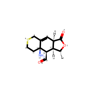 C[C@H]1OC(=O)[C@@H]2C=C3CSCC[C@@]3(N)[C@H](C=O)[C@H]12